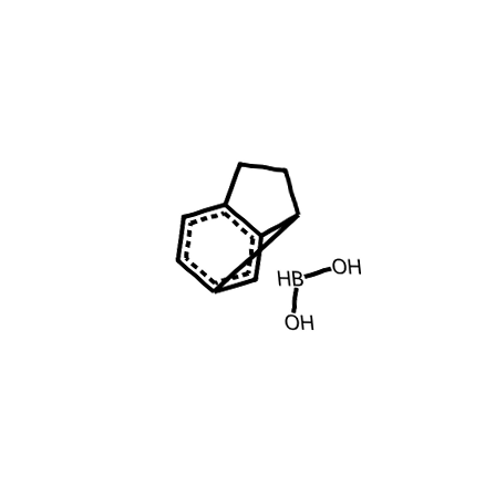 OBO.c1cc2c3cc1C3CC2